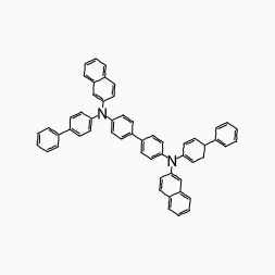 C1=CC(c2ccccc2)CC=C1N(c1ccc(-c2ccc(N(c3ccc(-c4ccccc4)cc3)c3ccc4ccccc4c3)cc2)cc1)c1ccc2ccccc2c1